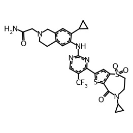 NC(=O)CN1CCc2cc(Nc3ncc(C(F)(F)F)c(-c4cc5c(s4)C(=O)N(C4CC4)CCS5(=O)=O)n3)c(C3CC3)cc2C1